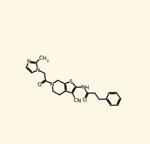 Cc1nccn1CC(=O)N1CCc2c(sc(NC(=O)CCc3ccccc3)c2C#N)C1